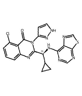 O=c1c2c(Cl)cccc2nc([C@@H](Nc2ncnc3scnc23)C2CC2)n1-c1cc[nH]n1